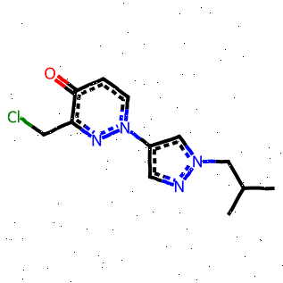 CC(C)Cn1cc(-n2ccc(=O)c(CCl)n2)cn1